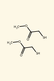 COC(=O)CS.COC(=O)CS